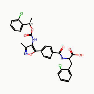 Cc1noc(-c2ccc(C(=O)NC(Cc3ccccc3Cl)C(=O)O)cc2)c1NC(=O)O[C@H](C)c1ccccc1Cl